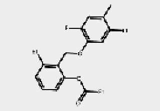 CCC(=O)Oc1cccc(CC)c1COc1cc(Cl)c(C)cc1F